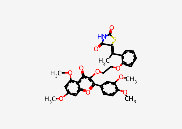 COc1cc(OC)c2c(=O)c(OCCOc3ccccc3/C(C)=C3\SC(=O)NC3=O)c(-c3ccc(OC)c(OC)c3)oc2c1